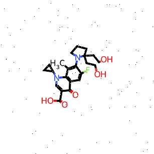 Cc1c(N2CCCC2(CCO)CCO)c(F)cc2c(=O)c(C(=O)O)cn(C3CC3)c12